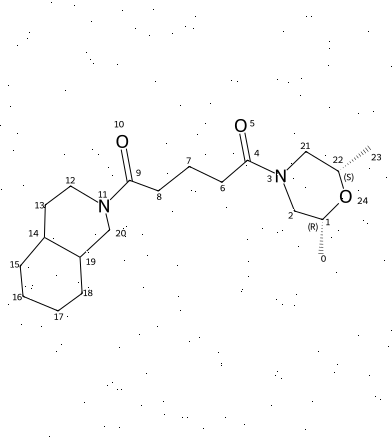 C[C@@H]1CN(C(=O)CCCC(=O)N2CCC3CCCCC3C2)C[C@H](C)O1